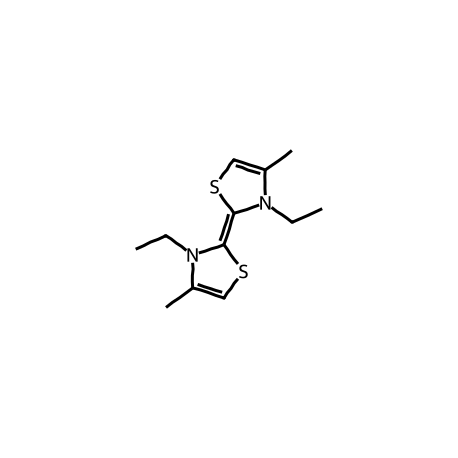 CCN1C(C)=CS/C1=C1/SC=C(C)N1CC